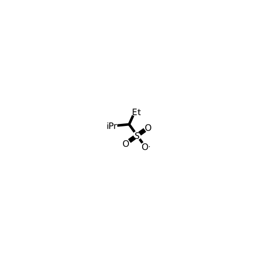 CCC(C(C)C)S([O])(=O)=O